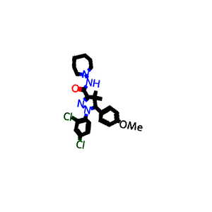 COc1ccc(C2N(c3ccc(Cl)cc3Cl)N=C(C(=O)NN3CCCCCC3)C2(C)C)cc1